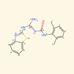 Cc1cccc(C)c1NC(=O)N=C(N)Nc1nc2ccccc2s1